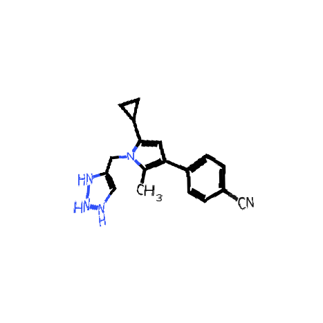 Cc1c(-c2ccc(C#N)cc2)cc(C2CC2)n1CC1=CNNN1